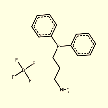 F[B-](F)(F)F.[NH3+]CCCP(c1ccccc1)c1ccccc1